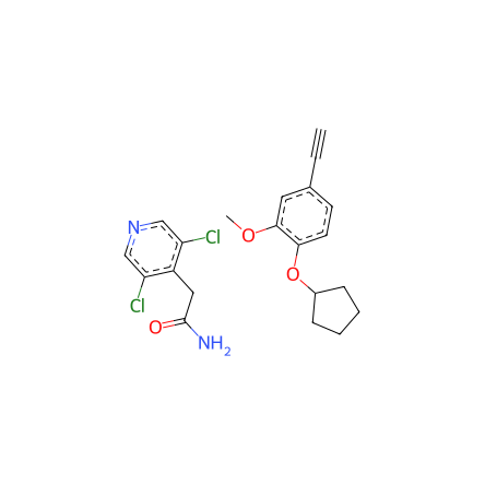 C#Cc1ccc(OC2CCCC2)c(OC)c1.NC(=O)Cc1c(Cl)cncc1Cl